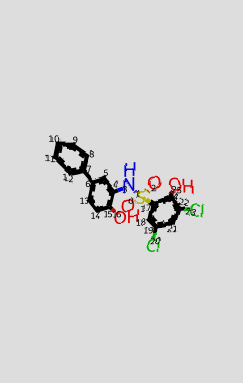 O=S(=O)(Nc1cc(-c2ccccc2)ccc1O)c1cc(Cl)cc(Cl)c1O